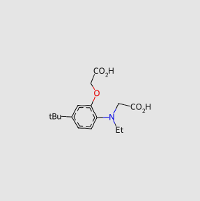 CCN(CC(=O)O)c1ccc(C(C)(C)C)cc1OCC(=O)O